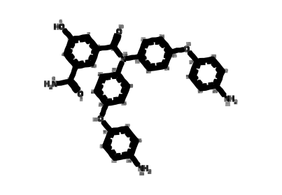 NC(=O)c1cc(O)cc(C(=O)N(c2ccc(Oc3ccc(N)cc3)cc2)c2ccc(Oc3ccc(N)cc3)cc2)c1